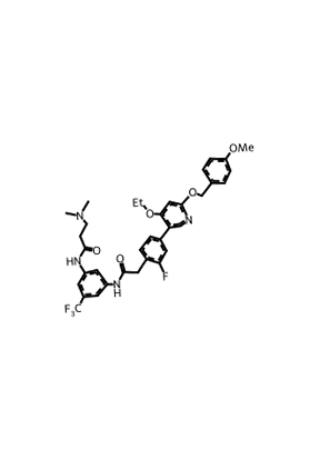 CCOc1cc(OCc2ccc(OC)cc2)ncc1-c1ccc(CC(=O)Nc2cc(NC(=O)CCN(C)C)cc(C(F)(F)F)c2)c(F)c1